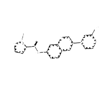 Cn1nccc1C(=O)Nc1ccc2cc(-c3cccc(O)c3)cnc2c1